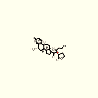 C[C@H]1C[C@@H]2[C@H](CC[C@@]3(C)[C@H]2CC[C@]3(OC(=O)CCO)C(=O)S[C@H]2CCOC2=O)[C@@]2(C)C=CC(=O)C=C12